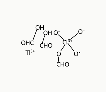 O=[C-]O.O=[C-]O.O=[C-]O[Cl+3]([O-])([O-])[O-].[Tl+3]